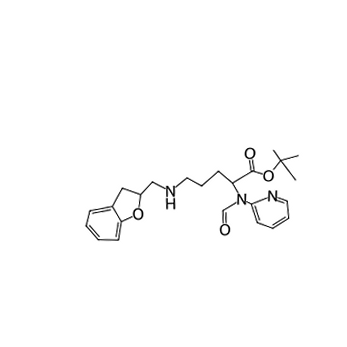 CC(C)(C)OC(=O)C(CCCNCC1Cc2ccccc2O1)N(C=O)c1ccccn1